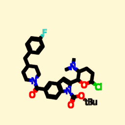 CN(C)C1CCC(Cl)OC1c1cc2cc(C(=O)N3CCC(Cc4ccc(F)cc4)CC3)ccc2n1C(=O)OC(C)(C)C